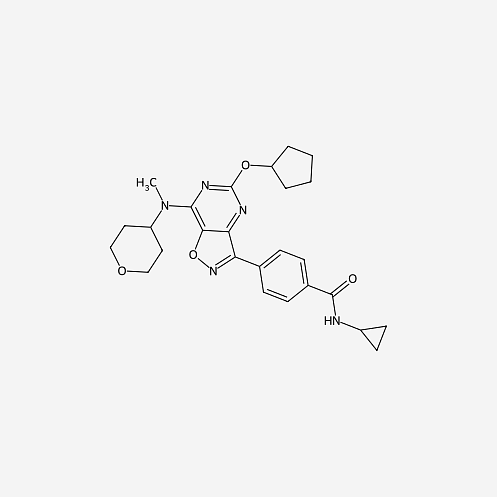 CN(c1nc(OC2CCCC2)nc2c(-c3ccc(C(=O)NC4CC4)cc3)noc12)C1CCOCC1